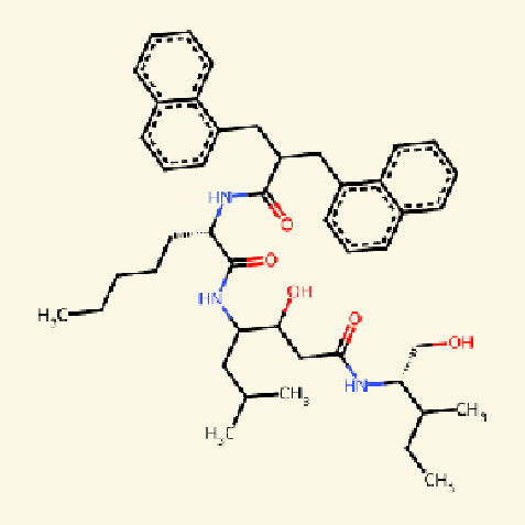 CCCCC[C@H](NC(=O)C(Cc1cccc2ccccc12)Cc1cccc2ccccc12)C(=O)NC(CC(C)C)C(O)CC(=O)N[C@H](CO)C(C)CC